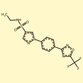 CCNS(=O)(=O)c1cnn(-c2ccc(-c3noc(C(F)(F)F)n3)cc2)c1